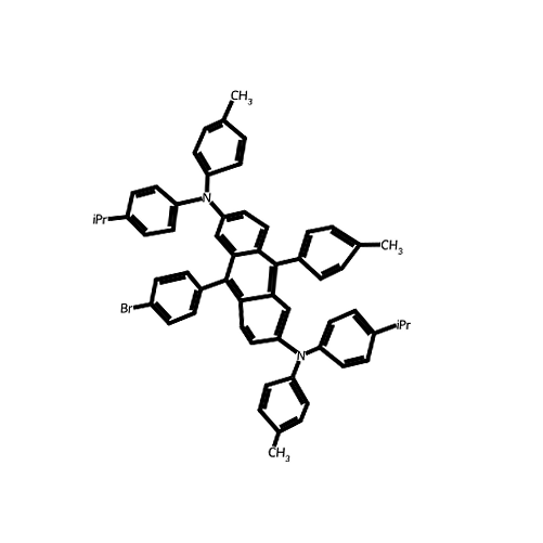 Cc1ccc(-c2c3ccc(N(c4ccc(C)cc4)c4ccc(C(C)C)cc4)cc3c(-c3ccc(Br)cc3)c3ccc(N(c4ccc(C)cc4)c4ccc(C(C)C)cc4)cc23)cc1